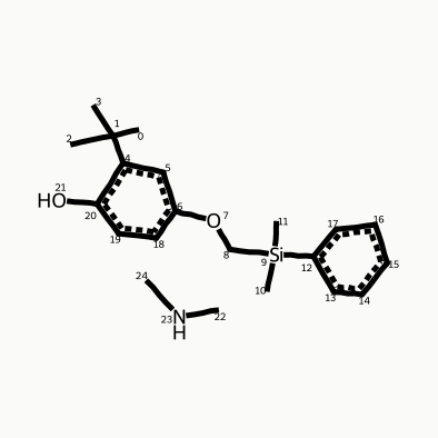 CC(C)(C)c1cc(OC[Si](C)(C)c2ccccc2)ccc1O.CNC